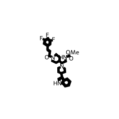 COC(=O)NCC(C1CCN(C(=O)C=Cc2cc(F)c(F)c(F)c2)CC1)N1CCC(c2c[nH]c3ccccc23)CC1